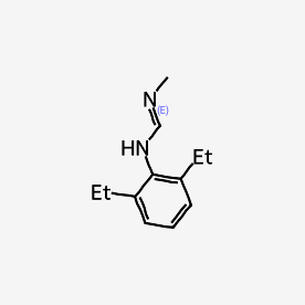 CCc1cccc(CC)c1N/C=N/C